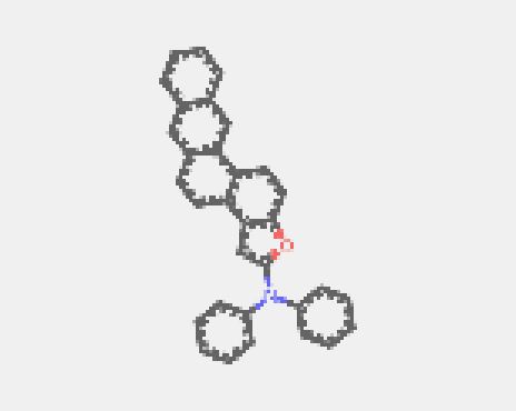 c1ccc(N(c2ccccc2)c2cc3c(ccc4c5cc6ccccc6cc5ccc34)o2)cc1